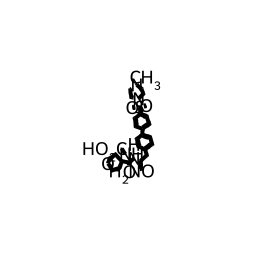 CN1CCN(S(=O)(=O)c2ccc(-c3ccc(CC(NC(=O)C4(NC(=O)O)CCOCC4)C(N)=O)cc3)cc2)CC1